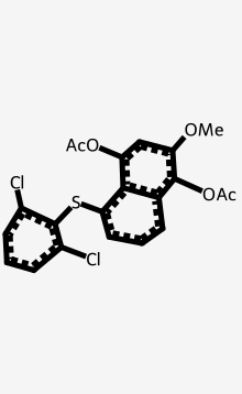 COc1cc(OC(C)=O)c2c(Sc3c(Cl)cccc3Cl)cccc2c1OC(C)=O